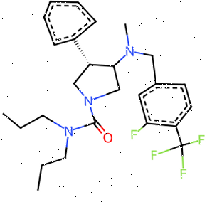 CCCN(CCC)C(=O)N1CC(N(C)Cc2ccc(C(F)(F)F)c(F)c2)[C@@H](c2ccccc2)C1